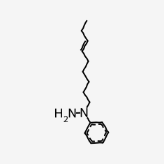 CCC=CCCCCCN(N)c1ccccc1